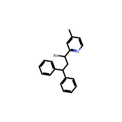 CC(=O)C(CC(c1ccccc1)c1ccccc1)c1cc(C)ccn1